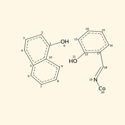 Oc1cccc2ccccc12.Oc1ccccc1C=[N][Co]